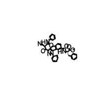 COC(=O)[C@H](Cc1ccccc1)NC(=O)c1ccc2c(c1)-c1c(c(C(=O)C(C#N)C(=O)Nc3ccccc3)nn1-c1ccccc1)C2